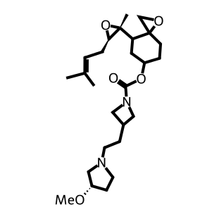 CO[C@H]1CCN(CCC2CN(C(=O)OC3CCC4(CO4)C([C@@]4(C)O[C@@H]4CC=C(C)C)C3)C2)C1